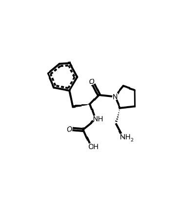 NC[C@H]1CCCN1C(=O)[C@H](Cc1ccccc1)NC(=O)O